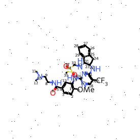 COc1ccc(C(=O)NCCN(C)C)cc1Nc1ncc(C(F)(F)F)c(N[C@@H]2Cc3ccccc3[C@H]2NCS(C)(=O)=O)n1